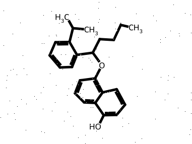 C[CH]CCC(Oc1cccc2c(O)cccc12)c1ccccc1C(C)C